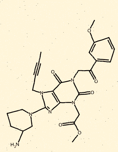 CC#CCn1c(N2CCCC(N)C2)nc2c1c(=O)n(CC(=O)c1cccc(OC)c1)c(=O)n2CC(=O)OC